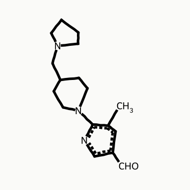 Cc1cc(C=O)cnc1N1CCC(CN2CCCC2)CC1